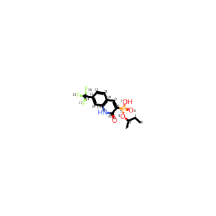 CCC(C)OP(=O)(O)c1cc2ccc(C(F)(F)F)cc2[nH]c1=O